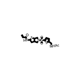 C=CC(=O)NC1CC2CN(S(=O)(=O)c3ccc(CNC(C)=O)s3)CC2S1